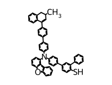 CC1C=C(c2ccc(-c3ccc(N(c4ccc(-c5ccc(S)c(-c6ccccc6)c5)cc4)c4cccc5oc6ccccc6c45)cc3)cc2)c2ccccc2C1